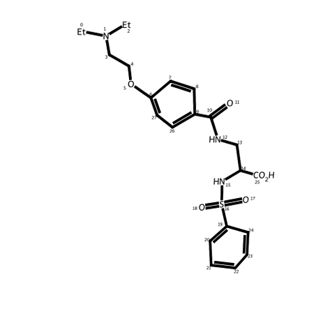 CCN(CC)CCOc1ccc(C(=O)NCC(NS(=O)(=O)c2ccccc2)C(=O)O)cc1